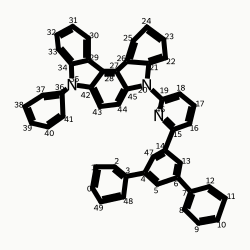 c1ccc(-c2cc(-c3ccccc3)cc(-c3cccc(-n4c5ccccc5c5c6c7ccccc7n(-c7ccccc7)c6ccc54)n3)c2)cc1